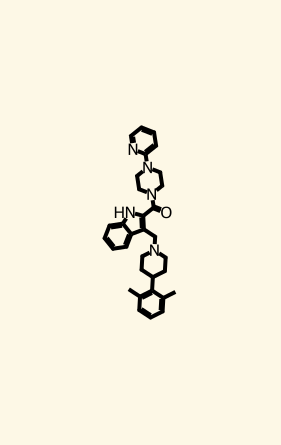 Cc1cccc(C)c1C1CCN(Cc2c(C(=O)N3CCN(c4ccccn4)CC3)[nH]c3ccccc23)CC1